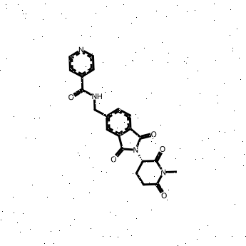 CN1C(=O)CC[C@H](N2C(=O)c3ccc(CNC(=O)c4ccncc4)cc3C2=O)C1=O